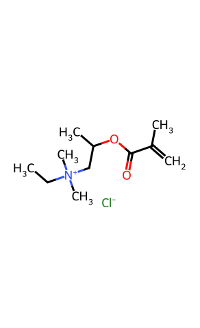 C=C(C)C(=O)OC(C)C[N+](C)(C)CC.[Cl-]